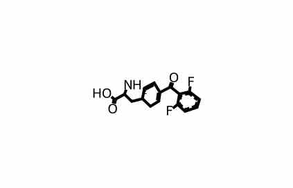 NC(CC1C=CC(C(=O)c2c(F)cccc2F)=CC1)C(=O)O